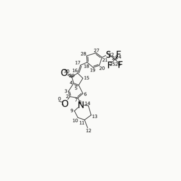 COc1cc2c(cc1N1CCC(C)CC1)CC(=Cc1ccc(SC(F)(F)F)cc1)C2=O